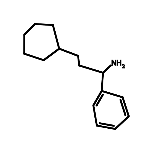 NC(CCC1CCCCC1)c1ccccc1